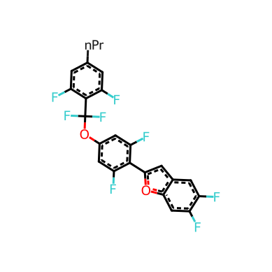 CCCc1cc(F)c(C(F)(F)Oc2cc(F)c(-c3cc4cc(F)c(F)cc4o3)c(F)c2)c(F)c1